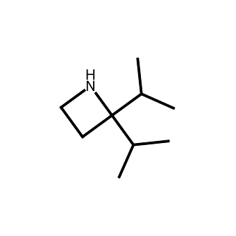 CC(C)C1(C(C)C)CCN1